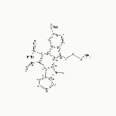 COc1ccc2c(c1)c1c3c(c4c5ccccc5n(C)c4c1n2CCCN)C(=O)NC3=O